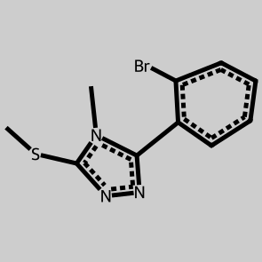 CSc1nnc(-c2ccccc2Br)n1C